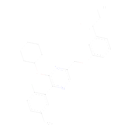 COc1ccc(F)c(-c2ncc(COc3cccc([C@H](O)CC(=O)O)c3)nc2OC2CCCCC2)c1